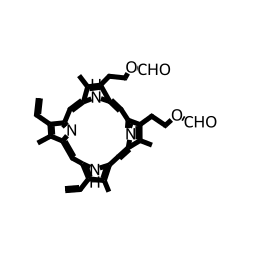 C=CC1=C(C)c2cc3[nH]c(cc4nc(cc5[nH]c(cc1n2)c(C)c5CCOC=O)C(CCOC=O)=C4C)c(C)c3C=C